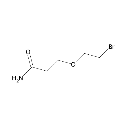 NC(=O)CCOCCBr